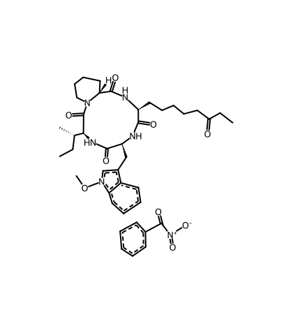 CCC(=O)CCCCC[C@@H]1NC(=O)[C@H]2CCCCN2C(=O)[C@H]([C@@H](C)CC)NC(=O)[C@H](Cc2cn(OC)c3ccccc23)NC1=O.O=C(c1ccccc1)[N+](=O)[O-]